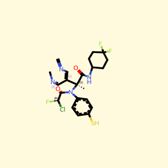 C=N/C=C(\C=N/C)[C@@](C)(C(=O)NC1CCC(F)(F)CC1)N(C(=O)[C@H](F)Cl)c1ccc(S)cc1